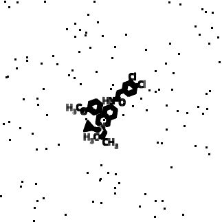 COc1cccc([C@]23CC[N@+](CC(C)C)(CC4CC4)CC2CC[C@H](NC(=O)Cc2ccc(Cl)c(Cl)c2)C3)c1